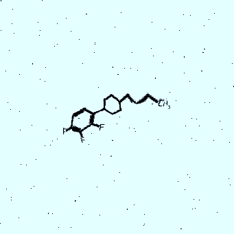 CCCCC1CCC(c2ccc(F)c(F)c2F)CC1